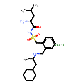 CC(C)C[C@H](N)C(=O)NS(=O)(=O)Cc1ccccc1CNC(C)CC1CCCCC1.Cl.Cl